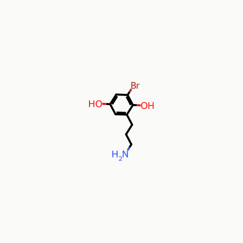 NCCCc1cc(O)cc(Br)c1O